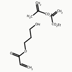 C=C(C)C(=O)O.C=CC(=O)OCC.C=CC(=O)OCCCO